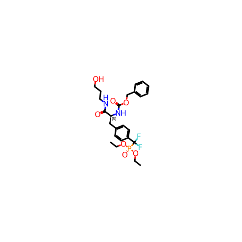 CCOP(=O)(OCC)C(F)(F)c1ccc(C[C@H](NC(=O)OCc2ccccc2)C(=O)NCCCO)cc1